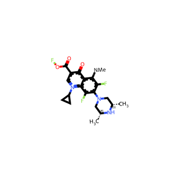 CNc1c(F)c(N2C[C@@H](C)N[C@@H](C)C2)c(F)c2c1c(=O)c(C(=O)OF)cn2C1CC1